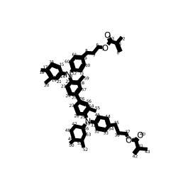 C=C(C)C(=O)OCCCc1ccc(N(c2ccc(C)c(C)c2)c2ccc(-c3ccc(N(c4ccc(CCCOC(=O)C(=C)C)cc4)C4CCC(C)C(C)C4)c(C)c3)cc2C)cc1